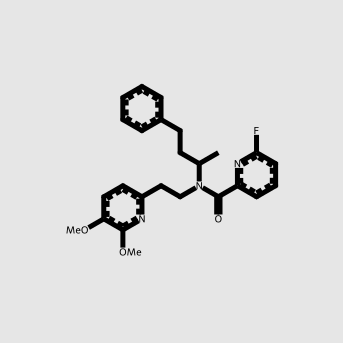 COc1ccc(CCN(C(=O)c2cccc(F)n2)C(C)CCc2ccccc2)nc1OC